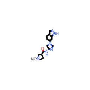 N#CN1CCC(C(=O)Nc2cn(-c3ccc4cn[nH]c4c3)cn2)C1